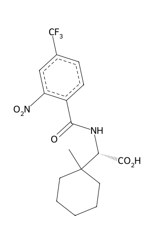 CC1([C@H](NC(=O)c2ccc(C(F)(F)F)cc2[N+](=O)[O-])C(=O)O)CCCCC1